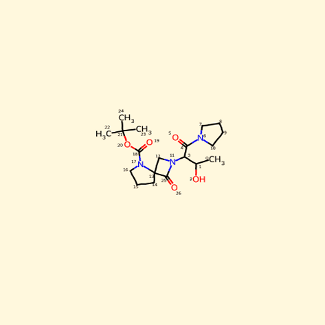 CC(O)C(C(=O)N1CCCC1)N1CC2(CCCN2C(=O)OC(C)(C)C)C1=O